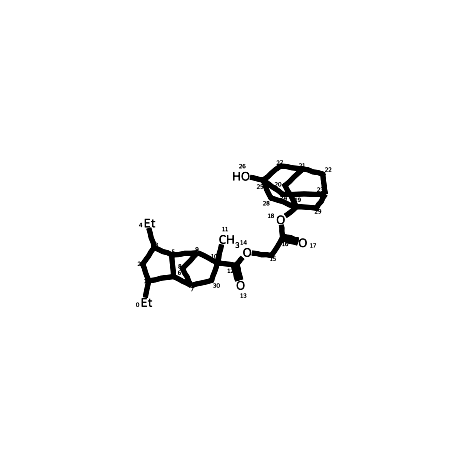 CCC1CC(CC)C2C1C1CC2C(C)(C(=O)OCC(=O)OC23CC4CC(CC(O)(C4)C2)C3)C1